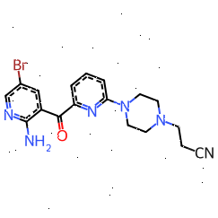 N#CCCN1CCN(c2cccc(C(=O)c3cc(Br)cnc3N)n2)CC1